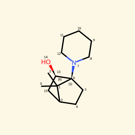 CC1(C)C2CC[C@@]1(N1CCCCC1)[C@H](O)C2